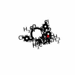 CN(C)Cc1ncc(-c2ccc(Oc3cc(Cl)ccc3CN3C(=O)CCC(=O)N(C)CCCC(Cc4ccc(Cl)cc4)NC(=O)C(CO)NC(=O)C3CCNC(C)(C)C)cc2)n1C